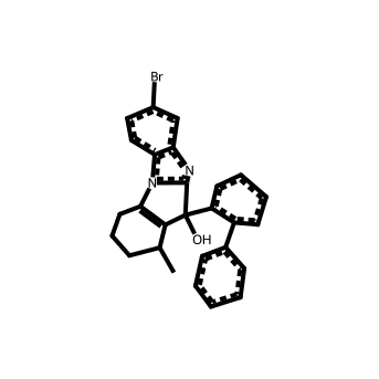 CC1CCCC2=C1C(O)(c1ccccc1-c1ccccc1)c1nc3cc(Br)ccc3n12